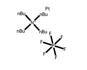 CCCC[N+](CCCC)(CCCC)CCCC.F[P-](F)(F)(F)(F)F.[Pt]